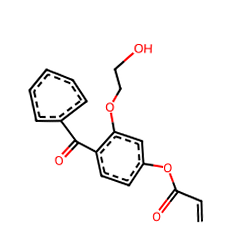 C=CC(=O)Oc1ccc(C(=O)c2ccccc2)c(OCCO)c1